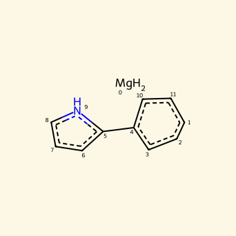 [MgH2].c1ccc(-c2ccc[nH]2)cc1